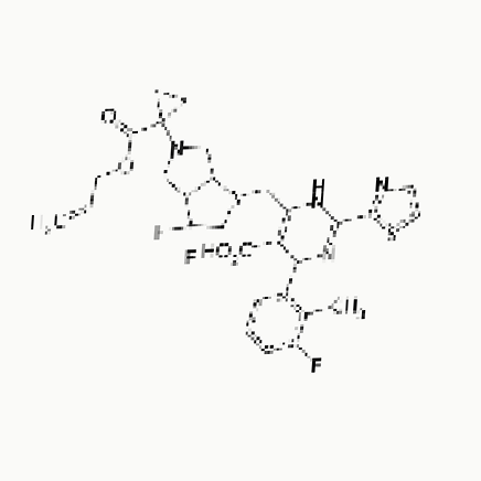 C=CCOC(=O)C1(N2CC3C(C2)C(F)(F)CN3CC2=C(C(=O)O)C(c3cccc(F)c3C)N=C(c3nccs3)N2)CC1